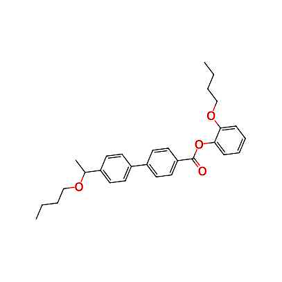 CCCCOc1ccccc1OC(=O)c1ccc(-c2ccc(C(C)OCCCC)cc2)cc1